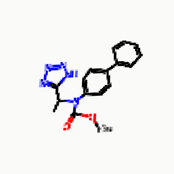 CC(c1nnn[nH]1)N(C(=O)OC(C)(C)C)c1ccc(-c2ccccc2)cc1